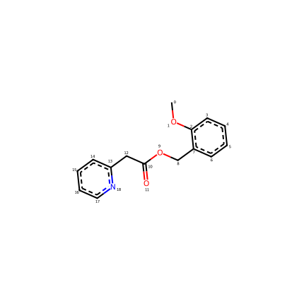 COc1ccccc1COC(=O)Cc1ccccn1